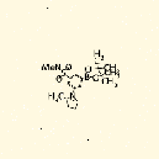 CNS(=O)(=O)c1cc(B2OC(C)(C)C(C)(C)O2)cc(N2CCCC2C)c1